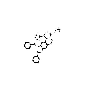 Cn1nnnc1C(S)C1c2cc(OC(=O)c3ccccc3)c(OC(=O)c3ccccc3)cc2CCN1C(=O)OCC(Cl)(Cl)Cl